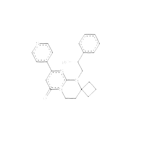 O=c1cc(-c2ccncc2)nc2n1CCC1(CCC1)N2C[C@H](O)c1ccccc1